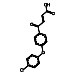 O=C(O)C=CC(=O)c1ccc(Oc2ccc(Cl)cc2)cc1